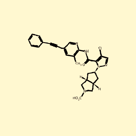 Cc1cc(C#Cc2ccccc2)cnc1NC(=O)c1c(Cl)cnn1[C@H]1C[C@@H]2CN(C(=O)O)C[C@@H]2C1